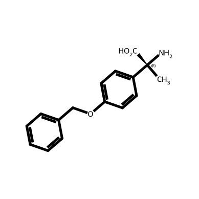 C[C@](N)(C(=O)O)c1ccc(OCc2ccccc2)cc1